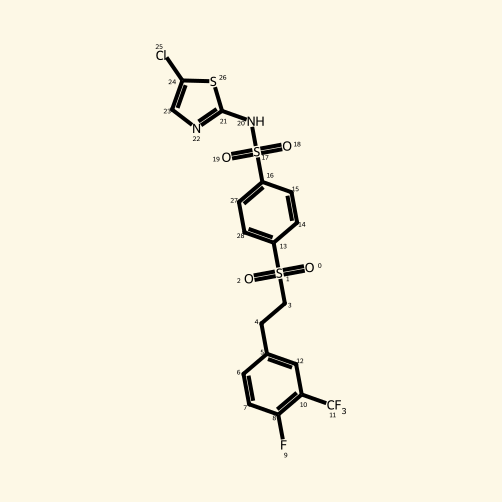 O=S(=O)(CCc1ccc(F)c(C(F)(F)F)c1)c1ccc(S(=O)(=O)Nc2ncc(Cl)s2)cc1